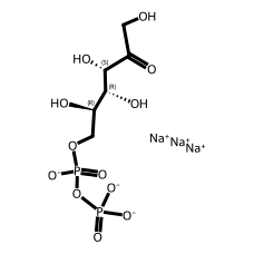 O=C(CO)[C@@H](O)[C@H](O)[C@H](O)COP(=O)([O-])OP(=O)([O-])[O-].[Na+].[Na+].[Na+]